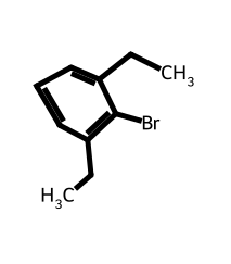 CCc1cccc(CC)c1Br